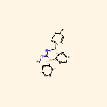 CC1C=CC(CN/C(=N/C(C)C)P(c2ccccc2)c2ccccc2)=CC1